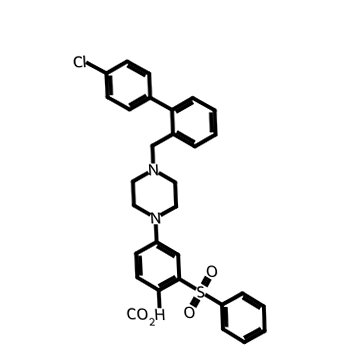 O=C(O)c1ccc(N2CCN(Cc3ccccc3-c3ccc(Cl)cc3)CC2)cc1S(=O)(=O)c1ccccc1